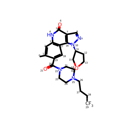 Cc1cc2[nH]c(=O)c3cnn([C@H]4CCOC4)c3c2cc1C(=O)N1CCN(CCCC(F)(F)F)CC1